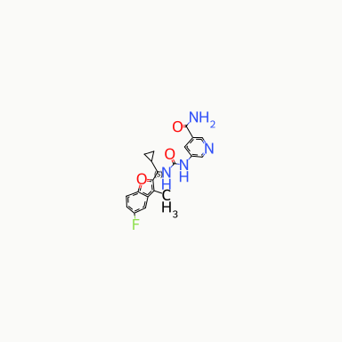 Cc1c([C@@H](NC(=O)Nc2cncc(C(N)=O)c2)C2CC2)oc2ccc(F)cc12